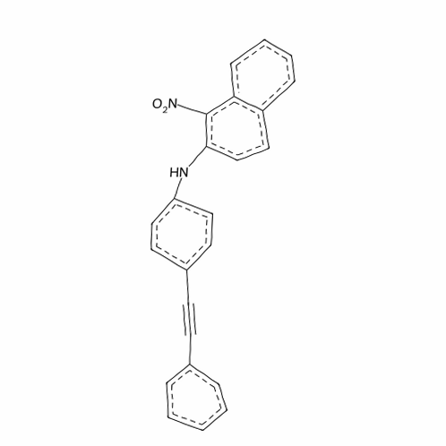 O=[N+]([O-])c1c(Nc2ccc(C#Cc3ccccc3)cc2)ccc2ccccc12